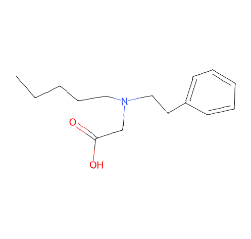 CCCCCN(CCc1ccccc1)CC(=O)O